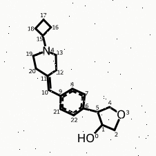 OC1COCC1c1ccc(C=C2CCN(C3CCC3)CC2)cc1